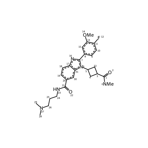 CNC(=O)C1CC(n2c(-c3ccc(F)c(OC)c3)nc3ccc(C(=O)NCCCN(C)C)cc32)C1